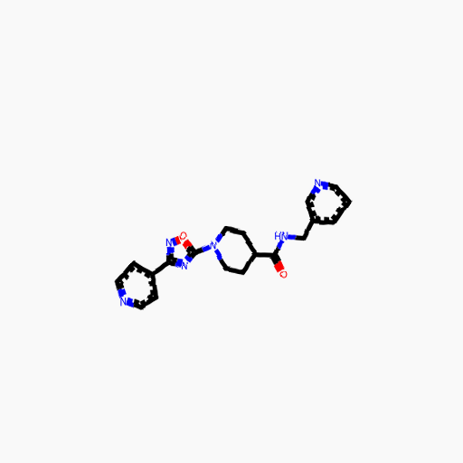 O=C(NCc1cccnc1)C1CCN(c2nc(-c3ccncc3)no2)CC1